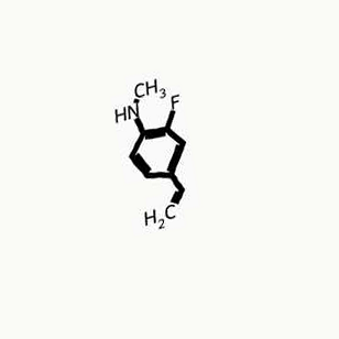 C=Cc1ccc(NC)c(F)c1